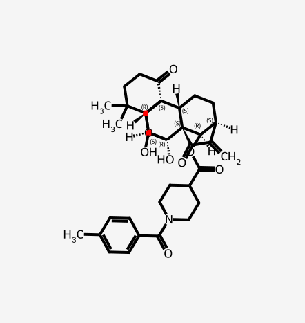 C=C1C(=O)[C@]23[C@H](OC(=O)C4CCN(C(=O)c5ccc(C)cc5)CC4)[C@H]1CC[C@H]2[C@@]12CO[C@@]3(O)[C@@H](O)[C@@H]1C(C)(C)CCC2=O